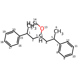 CC(C[SiH](CC(C)c1ccccc1)O[SiH3])c1ccccc1